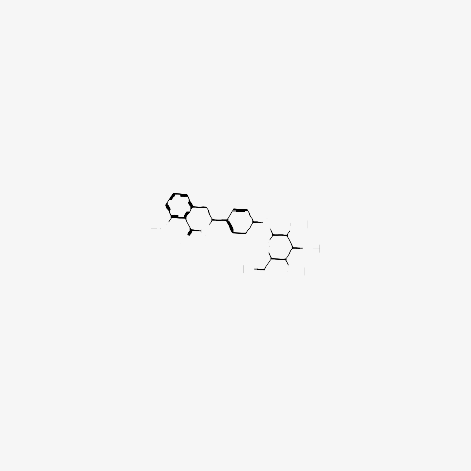 O=C1OC(C2=CCC(OC3OC(CO)C(O)C(O)C3O)C=C2)Cc2cccc(O)c21